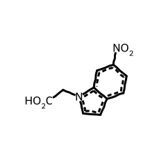 O=C(O)Cn1ccc2ccc([N+](=O)[O-])cc21